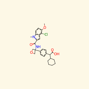 COc1ccc2c(cc(C(=O)NC3(c4ccc(C(C(=O)O)C5CCCCC5)cc4)COC3)n2C)c1Cl